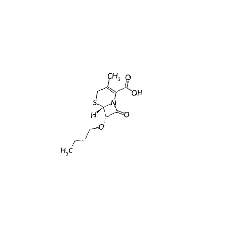 CCCCO[C@H]1C(=O)N2C(C(=O)O)=C(C)CS[C@@H]12